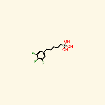 O[Si](O)(O)CCCCCc1cc(F)c(F)c(F)c1